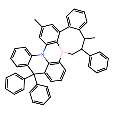 Cc1cc2c3c(c1)N1c4ccccc4C(c4ccccc4)(c4ccccc4)c4cccc(c41)B3CC(c1ccccc1)C(C)c1ccccc1-2